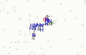 C=C(CCCCCN1C(=C)CC(C(CC)CC)C1=C)NCC(=C)NCC(=C)NC(CC(=C)NCCCC(=C)NC1CCc2c(C)c(F)cc3nc4c(c1c23)Cn1c-4cc2c(c1=O)CCC(=C)C2CC)Cc1ccccc1